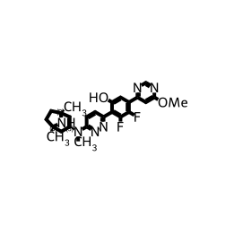 COc1cc(-c2cc(O)c(-c3ccc(N(C)[C@H]4C[C@]5(C)CC[C@](C)(C4)N5)nn3)c(F)c2F)ncn1